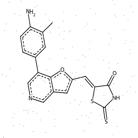 Cc1cc(-c2cncc3cc(/C=C4\SC(=S)NC4=O)oc23)ccc1N